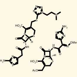 CN(C)CCn1nnnc1SCC1=C(C(=O)O)N2C(=O)[C@@H](NC(=O)Cc3csc(N)n3)[C@H]2SC1.CO/N=C(/C(=O)N[C@@H]1C(=O)N2C(C(=O)O)=C(COC(C)=O)CS[C@H]12)c1csc(N)n1